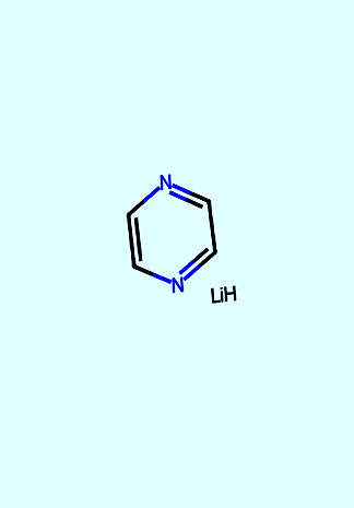 [LiH].c1cnccn1